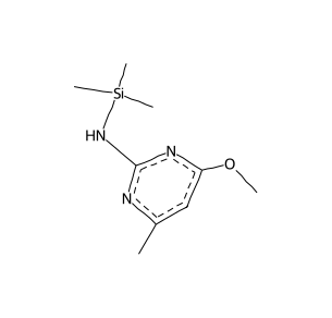 COc1cc(C)nc(N[Si](C)(C)C)n1